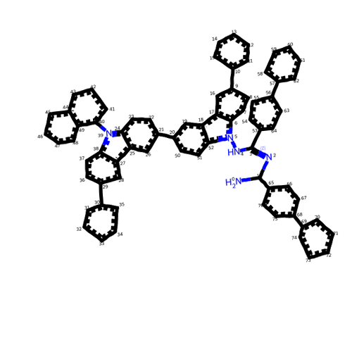 NC(/N=C(\Nn1c2ccc(-c3ccccc3)cc2c2cc(-c3ccc4c(c3)c3cc(-c5ccccc5)ccc3n4-c3cccc4ccccc34)ccc21)c1ccc(-c2ccccc2)cc1)c1ccc(-c2ccccc2)cc1